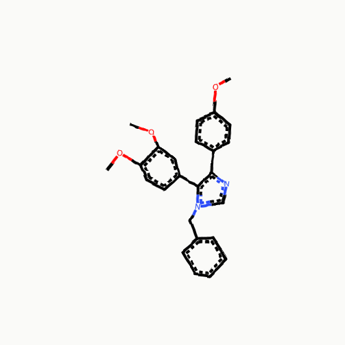 COc1ccc(-c2ncn(Cc3ccccc3)c2-c2ccc(OC)c(OC)c2)cc1